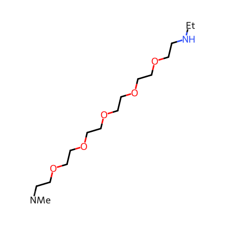 CCNCCOCCOCCOCCOCCOCCNC